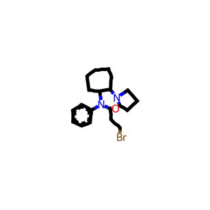 O=C(CCBr)N(c1ccccc1)C1CCCCCC1N1CCCC1